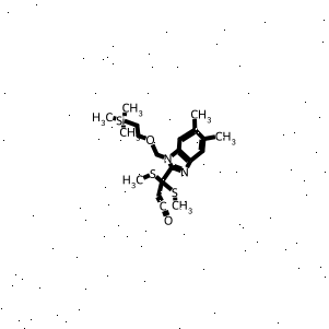 CSC(C=C=O)(SC)c1nc2cc(C)c(C)cc2n1COCC[Si](C)(C)C